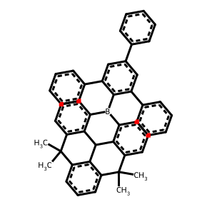 CC1(C)c2cccc3c2C2c4c(cccc4C(C)(C)c4cccc1c42)B3c1c(-c2ccccc2)cc(-c2ccccc2)cc1-c1ccccc1